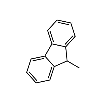 CC1c2c[c]ccc2-c2ccccc21